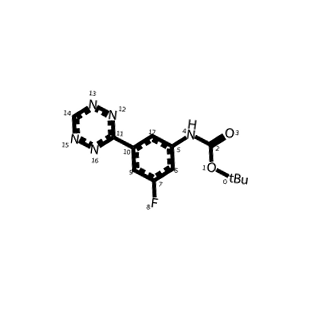 CC(C)(C)OC(=O)Nc1cc(F)cc(-c2nncnn2)c1